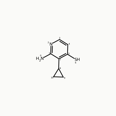 Nc1nccc(S)c1C1CC1